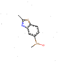 Cc1nc2cc([S+](C)[O-])ccc2s1